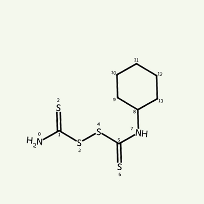 NC(=S)SSC(=S)NC1CCCCC1